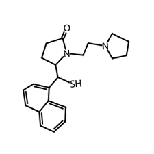 O=C1CCC(C(S)c2cccc3ccccc23)N1CCN1CCCC1